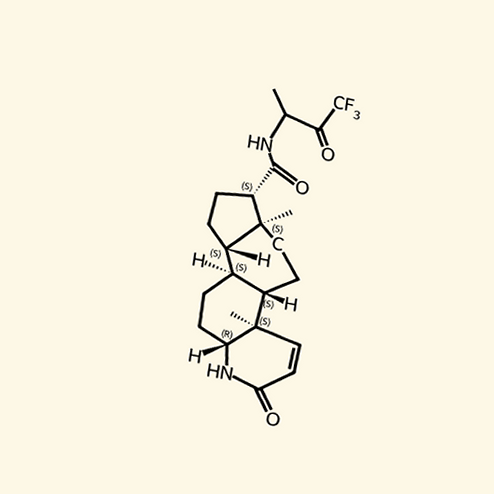 CC(NC(=O)[C@H]1CC[C@H]2[C@@H]3CC[C@H]4NC(=O)C=C[C@]4(C)[C@H]3CC[C@]12C)C(=O)C(F)(F)F